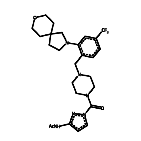 CC(=O)Nc1ccn(C(=O)N2CCN(Cc3ccc(C(F)(F)F)cc3N3CCC4(CCOCC4)C3)CC2)n1